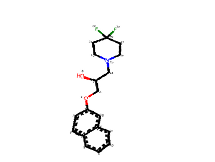 OC(COc1ccc2ccccc2c1)CN1CCC(F)(F)CC1